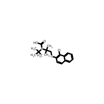 CC(C)(C)N(C(=O)O)C(C)(C)COc1ccc2ccccc2c1Cl